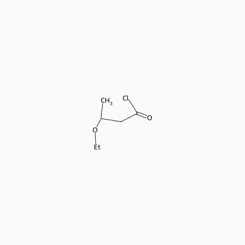 CCOC(C)CC(=O)Cl